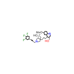 COc1ccc2ncc(CO)c(CCCC3(CC(=O)O)CCN(CC#Cc4cc(F)c(F)c(F)c4)CC3)c2c1